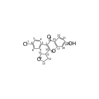 O=c1c(-c2ccc(Cl)cc2)c(C2CCOC2)oc2cc(O)ccc12